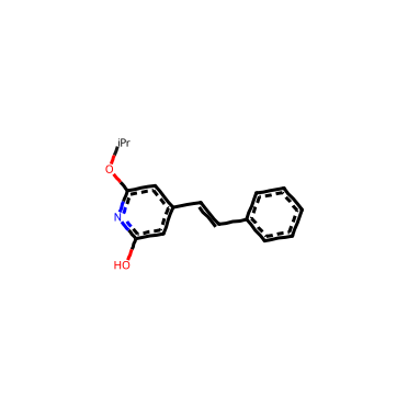 CC(C)Oc1cc(/C=C/c2ccccc2)cc(O)n1